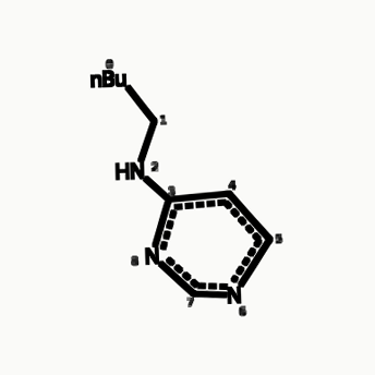 CCCCCNc1ccncn1